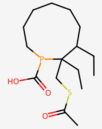 CCC1CCCCCCP(C(=O)O)C1(CC)CSC(C)=O